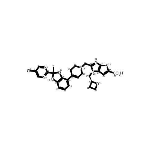 C[C@]1(c2ncc(Cl)cn2)Oc2cccc(C3=CCN(Cc4nc5sc(C(=O)O)cc5n4C[C@@H]4CCO4)CC3)c2O1